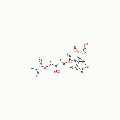 C=C(C)C(=O)OCC(O)COC(=O)C1C(C(=O)OC)C2C=CC1(C)C2